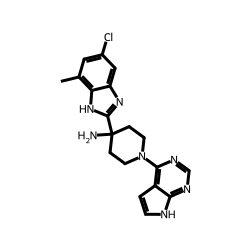 Cc1cc(Cl)cc2nc(C3(N)CCN(c4ncnc5[nH]ccc45)CC3)[nH]c12